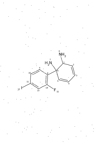 NC1C=CC=CC1(N)c1ccc(I)cc1F